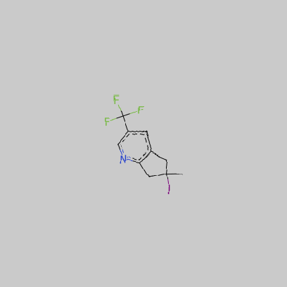 CC1(I)Cc2cc(C(F)(F)F)cnc2C1